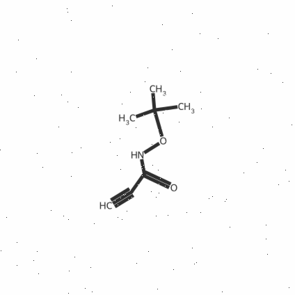 C#CC(=O)NOC(C)(C)C